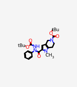 Cn1c(C(=O)N(NC(=O)OC(C)(C)C)c2ccccc2)cc2c1CCN(C(=O)OC(C)(C)C)C2